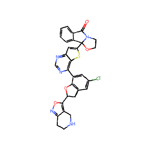 O=C1c2ccccc2C2(c3cc4ncnc(-c5cc(Cl)cc6c5OC(c5onc7c5CNCC7)C6)c4s3)OCCN12